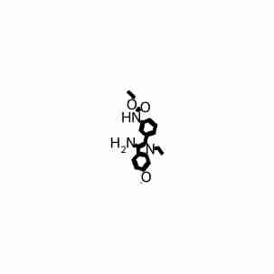 CCOC(=O)Nc1cccc(-c2c(N)c3ccc(OC)cc3n2CC)c1